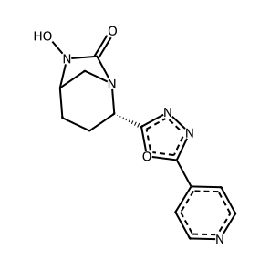 O=C1N(O)C2CC[C@@H](c3nnc(-c4ccncc4)o3)N1C2